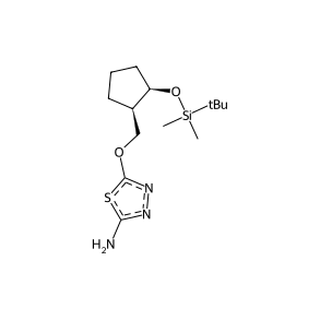 CC(C)(C)[Si](C)(C)O[C@@H]1CCC[C@@H]1COc1nnc(N)s1